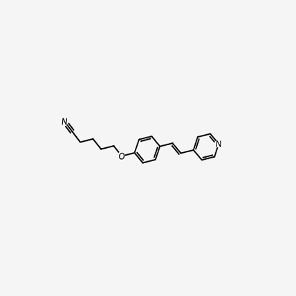 N#CCCCCOc1ccc(/C=C/c2ccncc2)cc1